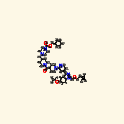 CC1(Oc2ccc3c(c2)c(-c2ccnc(N4CCC(C(=O)N5CCC(CN6CCN(C(=O)OCc7ccccc7)CC6)CC5)CC4)c2)nn3COCC[Si](C)(C)C)CC1